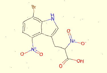 O=C(O)C(Cc1c[nH]c2c(Br)ccc([N+](=O)[O-])c12)[N+](=O)[O-]